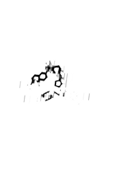 CN1CCN(CCNC(=O)O)CC1.Cc1ccc2cc(-n3nnc4cnc(NC5CCCC5)nc43)ccc2n1